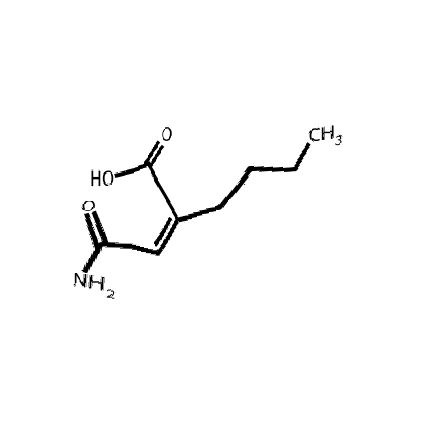 CCCCC(=CC(N)=O)C(=O)O